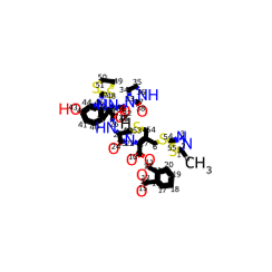 Cc1nnc(SCC2=C(C(=O)OC3OC(=O)c4ccccc43)N3C(=O)C(NC(=O)C4(NC(=O)N5CCNC5=O)c5ccc(O)c(c5)N4C4SCCS4)[C@@H]3SC2)s1